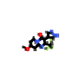 COc1ccn2c(=O)c(-c3cn[nH]c3)c(C(F)(F)F)nc2c1